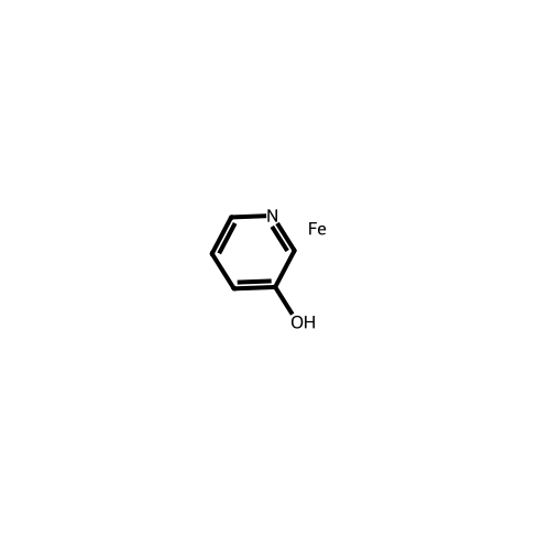 Oc1cccnc1.[Fe]